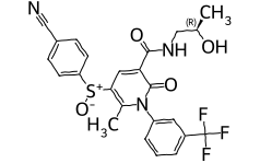 Cc1c([S+]([O-])c2ccc(C#N)cc2)cc(C(=O)NC[C@@H](C)O)c(=O)n1-c1cccc(C(F)(F)F)c1